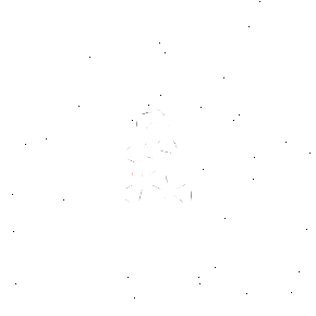 CC1(C)c2ccccc2-c2cc(-c3c4ccccc4c(-c4cccc5ccoc45)c4ccccc34)c3oc4ccccc4c3c21